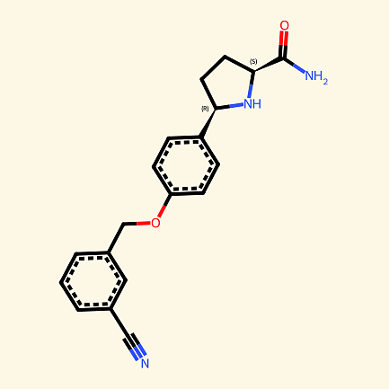 N#Cc1cccc(COc2ccc([C@H]3CC[C@@H](C(N)=O)N3)cc2)c1